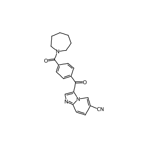 N#Cc1ccc2ncc(C(=O)c3ccc(C(=O)N4CCCCCC4)cc3)n2c1